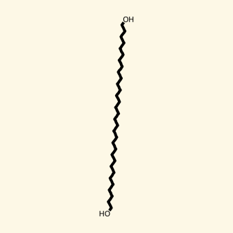 OCCCCCCCCCCCCCCCCCCCCCCCCCCCCCCCCO